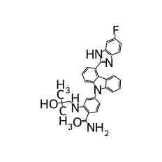 CC(C)(O)CNc1cc(-n2c3ccccc3c3c(-c4nc5ccc(F)cc5[nH]4)cccc32)ccc1C(N)=O